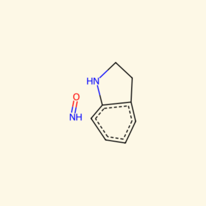 N=O.c1ccc2c(c1)CCN2